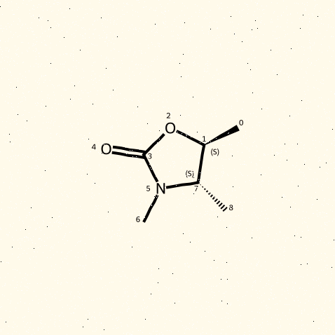 C[C@@H]1OC(=O)N(C)[C@H]1C